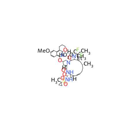 CC[C@@H]1C[C@H](C)CCC=C[C@@H]2C[C@@]2(C(=O)NS(=O)(=O)C2(C)CC2)NC(=O)[C@@H]2C[C@@H](Oc3nc4c(c5cc(OC)ccc35)CCCO4)CN2C(=O)[C@H]1N(C(=O)O)C(C)(C)C(C)(F)F